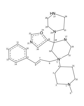 CN1CCC([N+]2(CC=Cc3ccccc3)CC[N]C(c3cnco3)(N3CCNCC3)C2)CC1